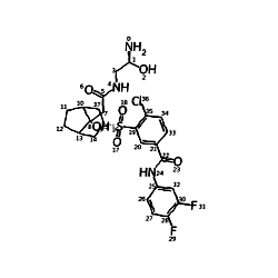 N[C@@H](O)CNC(=O)C[C@]1(O)C2CCC1C[C@@H](S(=O)(=O)c1cc(C(=O)Nc3ccc(F)c(F)c3)ccc1Cl)C2